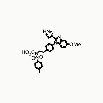 COc1ccc2c(c1)nc(-c1cc[nH]n1)n2-c1ccc(CCN(C(=O)O)S(=O)(=O)c2ccc(C)cc2)cc1